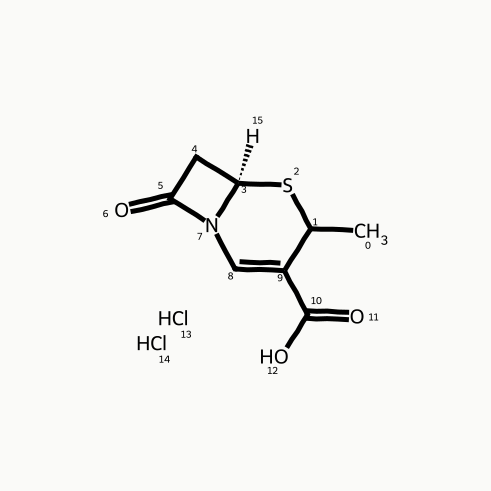 CC1S[C@@H]2CC(=O)N2C=C1C(=O)O.Cl.Cl